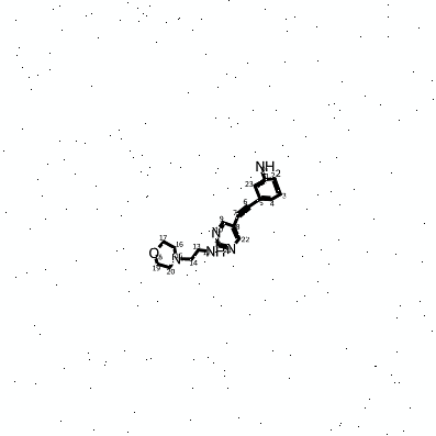 Nc1cccc(C#Cc2cnc(NCCN3CCOCC3)nc2)c1